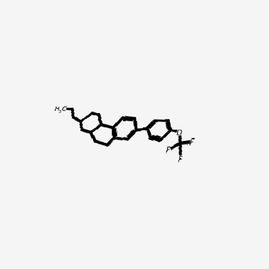 CCCC1CCC2c3ccc(-c4ccc(OC(F)(F)F)cc4)cc3CCC2C1